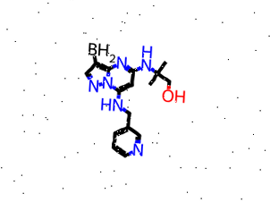 Bc1cnn2c(NCc3cccnc3)cc(NC(C)(C)CO)nc12